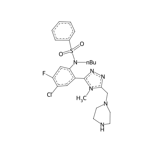 CCCCN(c1cc(F)c(Cl)cc1-c1nnc(CN2CCNCC2)n1C)S(=O)(=O)c1ccccc1